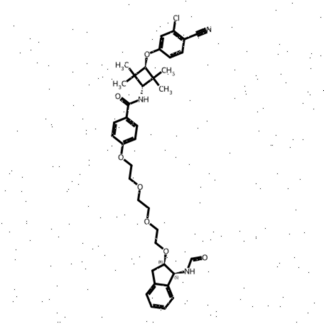 CC1(C)[C@H](NC(=O)c2ccc(OCCOCCOCCO[C@@H]3Cc4ccccc4[C@@H]3NC=O)cc2)C(C)(C)[C@H]1Oc1ccc(C#N)c(Cl)c1